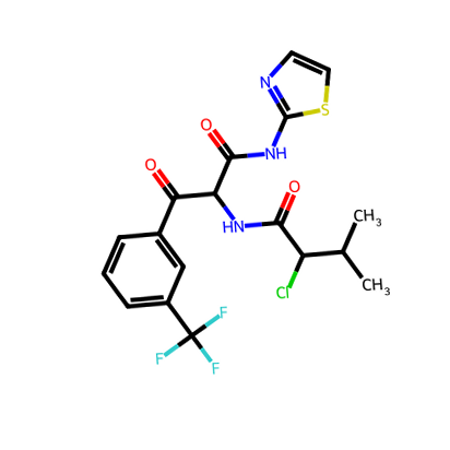 CC(C)C(Cl)C(=O)NC(C(=O)Nc1nccs1)C(=O)c1cccc(C(F)(F)F)c1